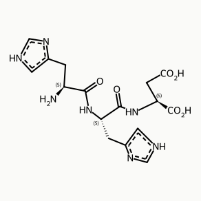 N[C@@H](Cc1c[nH]cn1)C(=O)N[C@@H](Cc1c[nH]cn1)C(=O)N[C@@H](CC(=O)O)C(=O)O